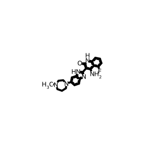 CN1CCCN(c2ccc3nc(-c4c(N)c5c(F)cccc5[nH]c4=O)[nH]c3c2)CC1